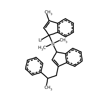 [Li][C]1([Si](C)(C)C2C=C(CC(C)c3ccccc3)c3ccccc32)C=C(C)c2ccccc21